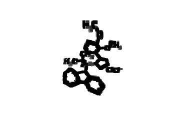 COc1cccc(C2=CC=C[CH]2[Zr+2](=[C](C)C)[CH]2c3ccccc3-c3ccccc32)c1OC.[Cl-].[Cl-]